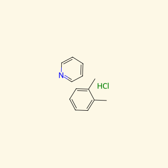 Cc1ccccc1C.Cl.c1ccncc1